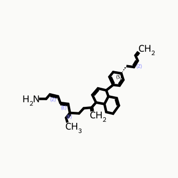 C=C/C=C\C[C@@H]1C=CC(C2C=CC(C(=C)CCC(/C=C/C=C\CN)=C\C)C3CCC=CC23)=CC1